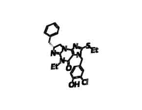 CCSc1nc2c(n1Cc1ccc(O)c(Cl)c1)C(=O)N(CC)C1=N[C@H](Cc3ccccc3)CN12